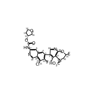 Cc1c(-c2cc3cc(NC(=O)O[C@@H]4CCOC4)ncc3c(Cl)c2F)cnc2c1N(C(=O)O)CC(F)O2